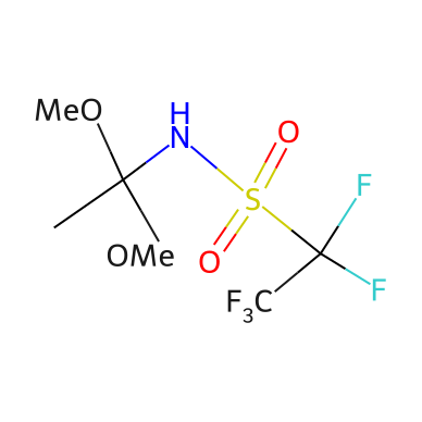 COC(C)(NS(=O)(=O)C(F)(F)C(F)(F)F)OC